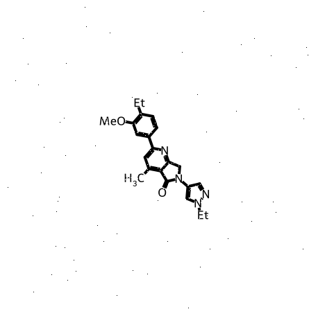 CCc1ccc(-c2cc(C)c3c(n2)CN(c2cnn(CC)c2)C3=O)cc1OC